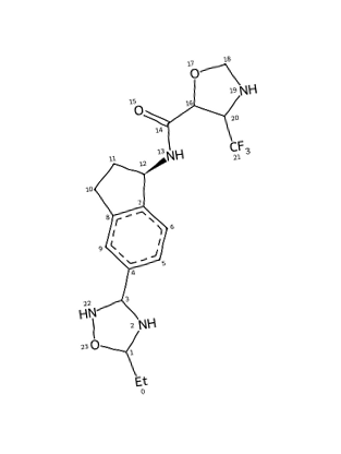 CCC1NC(c2ccc3c(c2)CC[C@H]3NC(=O)C2OCNC2C(F)(F)F)NO1